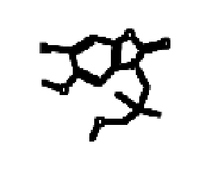 COCC(C)(C)Cn1c(=O)oc2cc(Br)c(OC)cc21